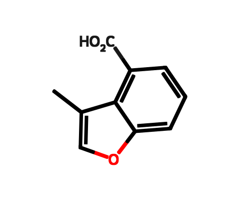 Cc1coc2cccc(C(=O)O)c12